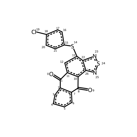 O=C1c2ccccc2C(=O)c2c1cc(Sc1ccc(Cl)cc1)c1nsnc21